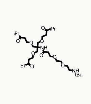 CCC(=O)CCOCC(COCCC(=O)C(C)C)(COCCC(=O)C(C)C)NC(=O)CCOCCOCCNC(C)(C)C